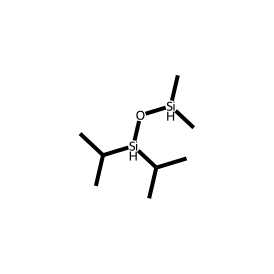 CC(C)[SiH](O[SiH](C)C)C(C)C